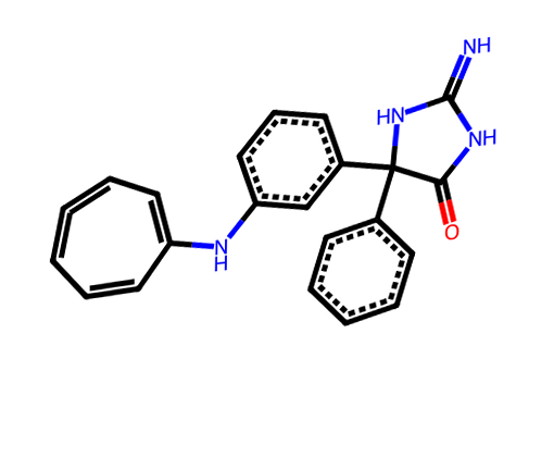 N=C1NC(=O)C(c2ccccc2)(c2cccc(NC3=CC=C=CC=C3)c2)N1